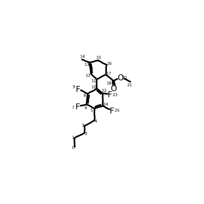 CCCCCc1c(F)c(F)c(C2C=C(C)CCC2C(=O)OC)c(F)c1F